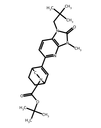 Cn1c(=O)n(CC(C)(C)C)c2ccc(C3=CC4CCC3CN4C(=O)OC(C)(C)C)nc21